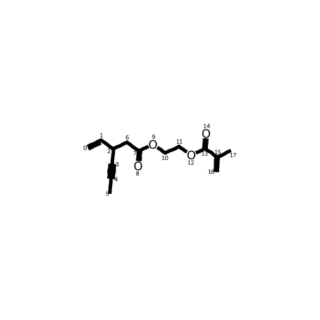 C=CC(C#CC)CC(=O)OCCOC(=O)C(=C)C